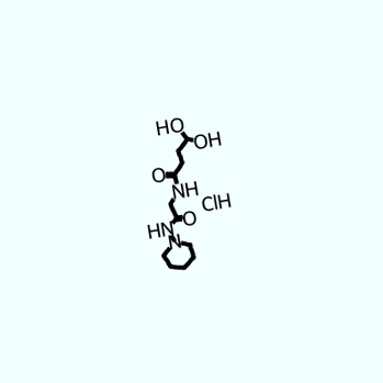 Cl.O=C(CCC(O)O)NCC(=O)NN1CCCCC1